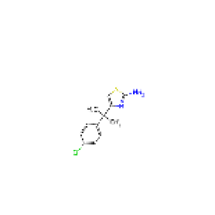 CC(C)(c1ccc(Cl)cc1)c1csc(N)n1